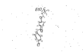 CCOC(=O)C(C)(C)CCOc1ccc(C(=O)Cc2ccc(Cl)cc2)cc1